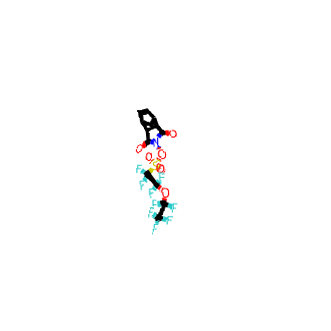 O=C1C2C3C=CC(C3)C2C(=O)N1OS(=O)(=O)C(F)(F)C(F)(F)OC(F)(F)C(F)(F)F